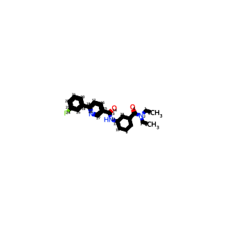 CCN(CC)C(=O)C1CCCC(NC(=O)c2ccc(-c3cccc(F)c3)nc2)C1